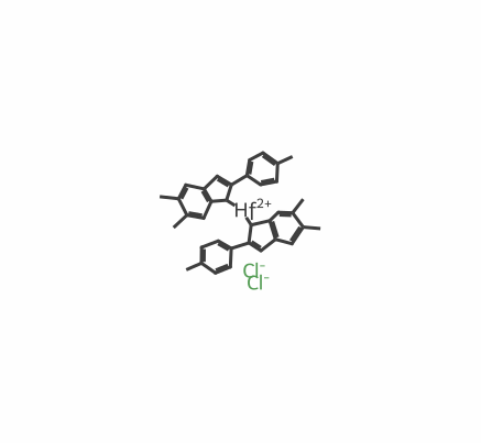 Cc1ccc(C2=Cc3cc(C)c(C)cc3[CH]2[Hf+2][CH]2C(c3ccc(C)cc3)=Cc3cc(C)c(C)cc32)cc1.[Cl-].[Cl-]